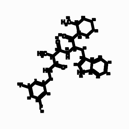 CC(C(=O)NCc1cc(F)cc(F)c1)C(=O)NC(Cc1c[nH]c2ccccc12)C(=O)N1CCCCC1C